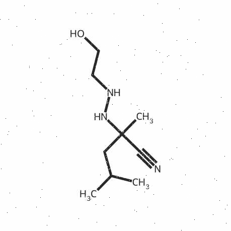 CC(C)CC(C)(C#N)NNCCO